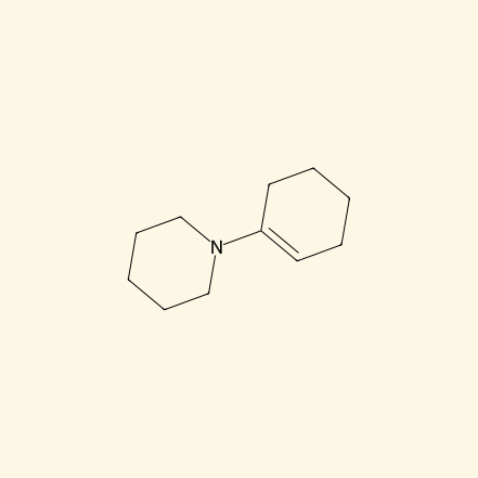 C1=C(N2CCCCC2)CCCC1